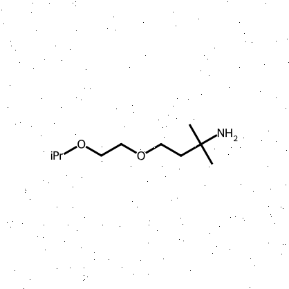 CC(C)OCCOCCC(C)(C)N